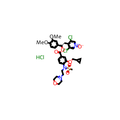 COc1ccc([C@H](Cc2c(Cl)c[n+]([O-])cc2Cl)OC(=O)c2ccc(N(CCN3CCOCC3)S(C)(=O)=O)c(OCC3CC3)c2)cc1OC.Cl